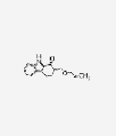 C=CCO/C=C1\CCc2c([nH]c3ccccc23)C1=O